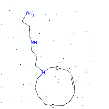 NCCCNCCCN1CCC/C=C\CCCCCCCC1